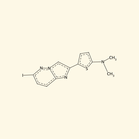 CN(C)c1ccc(-c2cn3nc(I)ccc3n2)s1